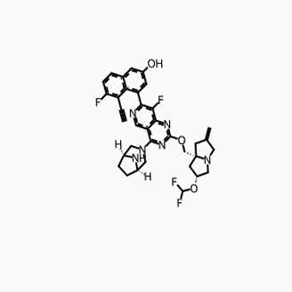 C#Cc1c(F)ccc2cc(O)cc(-c3ncc4c(N5C[C@H]6CC[C@@H](C5)N6)nc(OC[C@]56CC(=C)CN5C[C@H](OC(F)F)C6)nc4c3F)c12